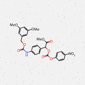 COC(=O)C(OC(=O)Oc1ccc([N+](=O)[O-])cc1)c1ccc(NC(=O)OCc2cc(OC)cc(OC)c2)cc1